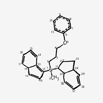 C[Si](CCCOc1ccccc1)(C1=C2C=CC=CC2C=C1)C1CCC2C=CC=CC21